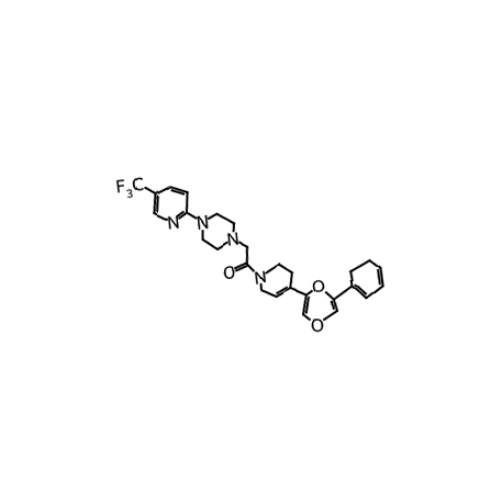 O=C(CN1CCN(c2ccc(C(F)(F)F)cn2)CC1)N1CC=C(C2=COC=C(C3=CC=CCC3)O2)CC1